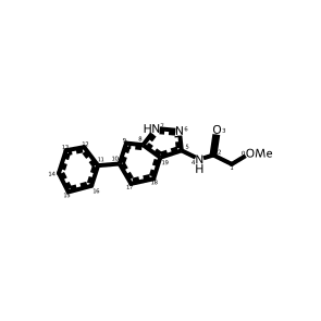 COCC(=O)Nc1n[nH]c2cc(-c3ccccc3)ccc12